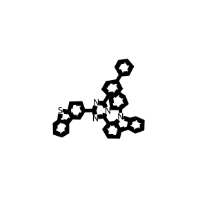 c1ccc(-c2ccc(-c3nc(-c4ccc5sc6ccccc6c5c4)nc(-c4cccc5c6ccccc6n(-c6ccccc6)c45)n3)cc2)cc1